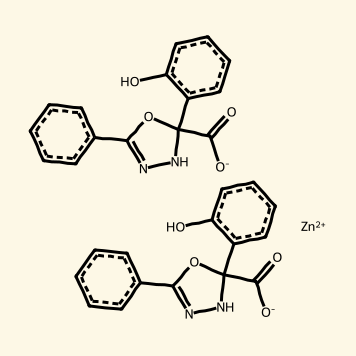 O=C([O-])C1(c2ccccc2O)NN=C(c2ccccc2)O1.O=C([O-])C1(c2ccccc2O)NN=C(c2ccccc2)O1.[Zn+2]